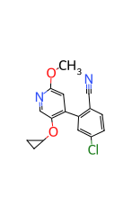 COc1cc(-c2cc(Cl)ccc2C#N)c(OC2CC2)cn1